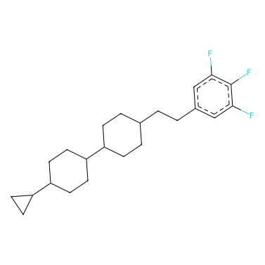 Fc1cc(CCC2CCC(C3CCC(C4CC4)CC3)CC2)cc(F)c1F